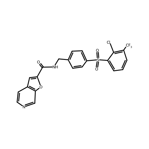 O=C(NCc1ccc(S(=O)(=O)c2cccc(C(F)(F)F)c2Cl)cc1)c1cc2ccncc2o1